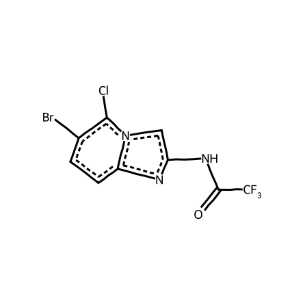 O=C(Nc1cn2c(Cl)c(Br)ccc2n1)C(F)(F)F